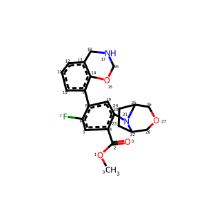 COC(=O)c1cc(F)c(-c2cccc3c2OCNC3)cc1N1C2CCC1COC2